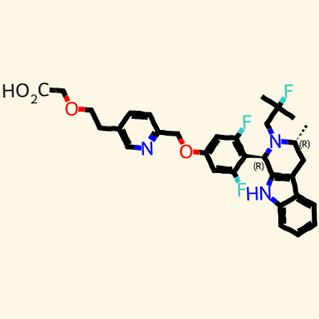 C[C@@H]1Cc2c([nH]c3ccccc23)[C@@H](c2c(F)cc(OCc3ccc(CCOCC(=O)O)cn3)cc2F)N1CC(C)(C)F